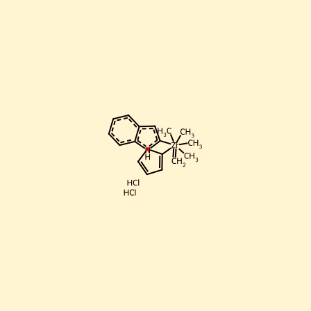 Cl.Cl.[CH2]=[Zr]([CH3])([CH3])([CH3])([CH3])([C]1=CC=CC1)[c]1cc2ccccc2[nH]1